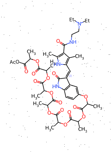 CCN(CC)CCNC(=O)c1c(C)[nH]c(/C=C2\C(=O)Nc3ccc(OC(C)C(=O)OC(C)C(=O)OC(C)C(=O)OC(C)C(=O)OC(C)C(=O)OC(C)C(=O)OC(C)C(=O)OC(C)=O)cc32)c1C